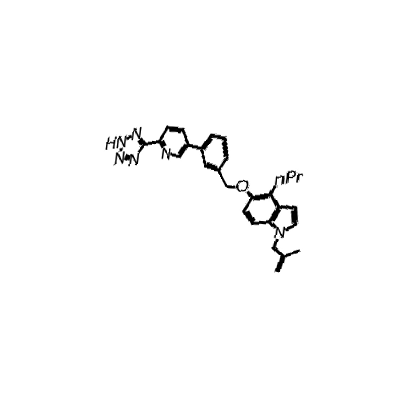 C=C(C)Cn1ccc2c(CCC)c(OCc3cccc(-c4ccc(-c5nn[nH]n5)nc4)c3)ccc21